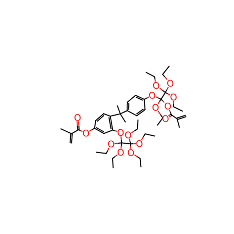 C=C(C)C(=O)Oc1ccc(C(C)(C)c2ccc(OC(OCC)(OC(=O)C(=C)C)C(OCC)(OCC)OCC)cc2)c(OC(OCC)(OCC)C(OCC)(OCC)OCC)c1